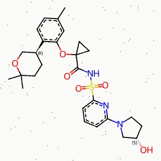 Cc1ccc([C@H]2CCC(C)(C)OC2)c(OC2(C(=O)NS(=O)(=O)c3cccc(N4CC[C@H](O)C4)n3)CC2)c1